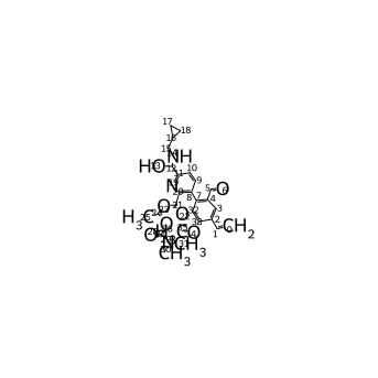 C=Cc1cc(C=O)c(-c2ccc(C(O)NCC3CC3)nc2C(=O)OC(C)OC(=O)N(C)C)cc1OC